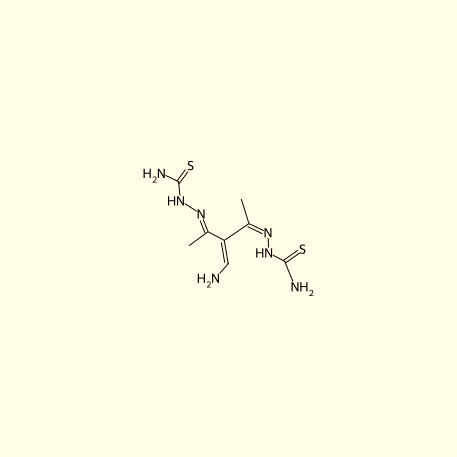 CC(=NNC(N)=S)C(=CN)C(C)=NNC(N)=S